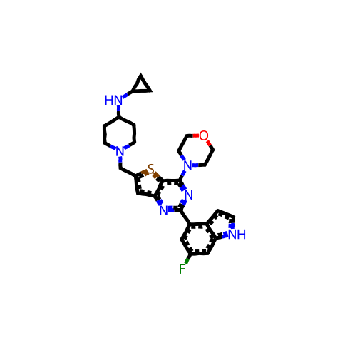 Fc1cc(-c2nc(N3CCOCC3)c3sc(CN4CCC(NC5CC5)CC4)cc3n2)c2cc[nH]c2c1